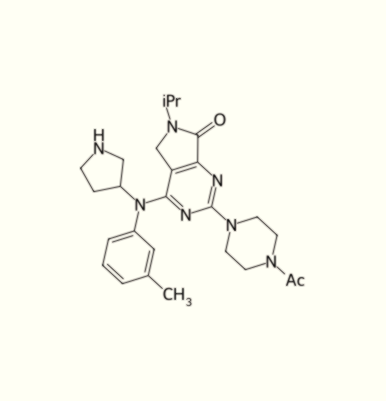 CC(=O)N1CCN(c2nc3c(c(N(c4cccc(C)c4)C4CCNC4)n2)CN(C(C)C)C3=O)CC1